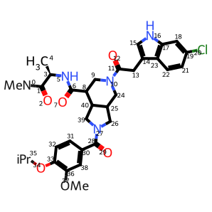 CNC(=O)[C@@H](C)NC(=O)C1CN(C(=O)Cc2c[nH]c3cc(Cl)ccc23)CC2CN(C(=O)c3ccc(OC(C)C)c(OC)c3)CC21